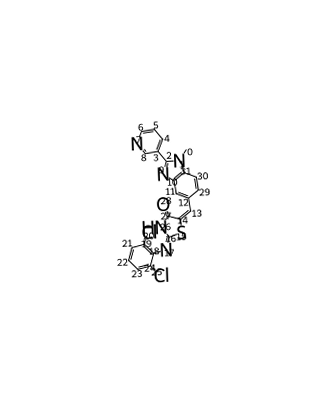 Cn1c(-c2cccnc2)nc2cc(C=C3SC(=Nc4c(Cl)cccc4Cl)NC3=O)ccc21